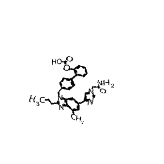 CCCc1nc2c(C)cc(-c3cn(CC(N)=O)cn3)cc2n1Cc1ccc(-c2ccccc2OC(=O)O)cc1